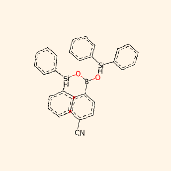 N#Cc1ccc(B(O[SiH](c2ccccc2)c2ccccc2)O[SiH](c2ccccc2)c2ccccc2)cc1